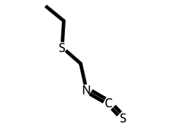 CCSCN=C=S